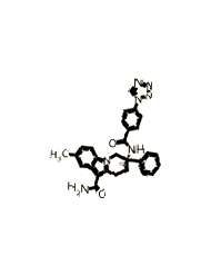 Cc1ccc2c(c1)c(C(N)=O)c1n2C[C@@](NC(=O)c2ccc(-n3cnnn3)cc2)(c2ccccc2)CC1